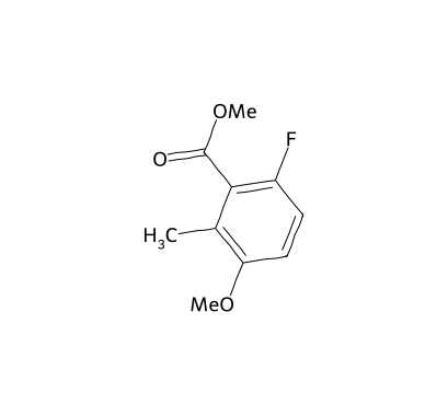 COC(=O)c1c(F)ccc(OC)c1C